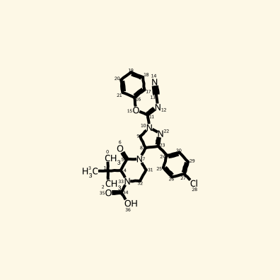 CC(C)(C)C1C(=O)N(C2CN(C(=NC#N)Oc3ccccc3)N=C2c2ccc(Cl)cc2)CCN1C(=O)O